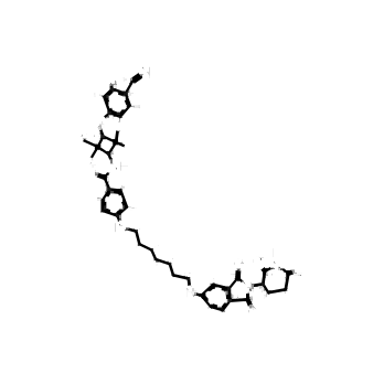 CC1(C)C(NC(=O)c2ccc(NCCCCCCCNc3ccc4c(c3)C(=O)N(C3CCC(=O)NC3=O)C4=O)cc2)C(C)(C)C1Oc1ccc(C#N)c(Cl)c1